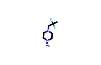 CC(=O)N1CCN(CC(C)(F)F)CC1